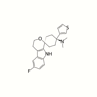 CN(C)[C@]1(c2ccsc2)CC[C@@]2(CC1)OCCc1c3cc(F)ccc3[nH]c12